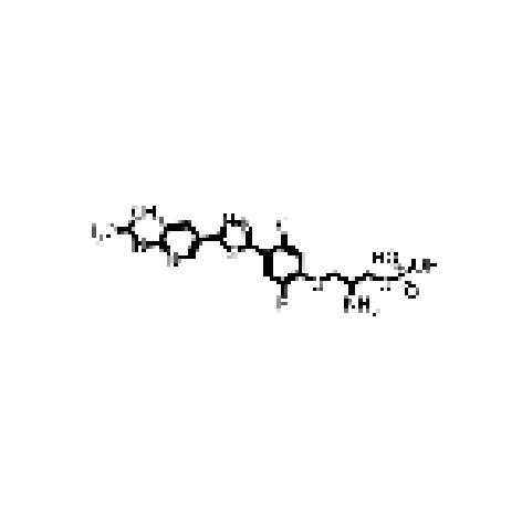 CC(C)Nc1ccc(-c2nnc(-c3cc(F)c(OCC(N)COP(=O)(O)O)cc3Cl)s2)cn1